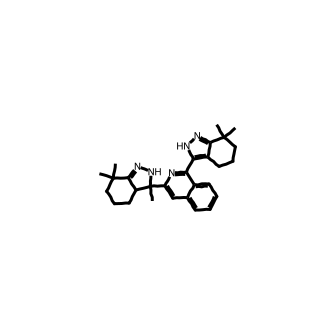 CC1(C)CCCC2C1=NNC2(C)c1cc2ccccc2c(-c2[nH]nc3c2CCCC3(C)C)n1